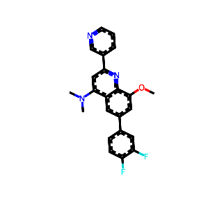 COc1cc(-c2ccc(F)c(F)c2)cc2c(N(C)C)cc(-c3cccnc3)nc12